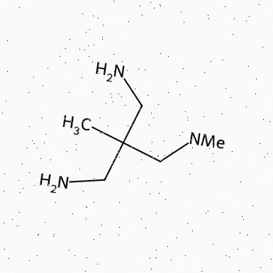 CNCC(C)(CN)CN